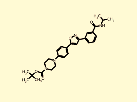 CC(C)NC(=O)c1cccc(-c2cc(-c3ccc(N4CCN(C(=O)OC(C)(C)C)CC4)cc3)on2)c1